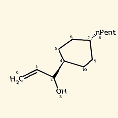 C=CC(O)[C@H]1CC[C@H](CCCCC)CC1